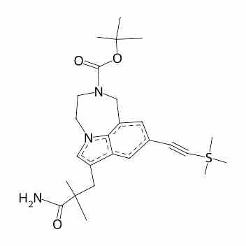 CC(C)(C)OC(=O)N1CCn2cc(CC(C)(C)C(N)=O)c3cc(C#CS(C)(C)C)cc(c32)C1